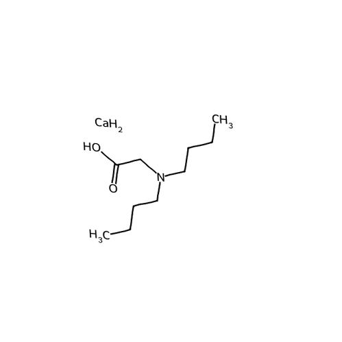 CCCCN(CCCC)CC(=O)O.[CaH2]